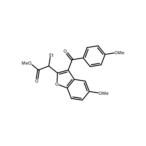 CCC(C(=O)OC)c1oc2ccc(OC)cc2c1C(=O)c1ccc(OC)cc1